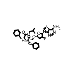 CC(C)COC(=O)[C@H](Cc1ccccc1)N[P@@](=O)(CO[C@@H]1C=C(F)[C@H](n2cnc3c(N)ncnc32)O1)Oc1ccccc1